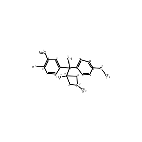 COc1cc([C@](O)(c2ccc(OC(F)(F)F)cc2)C2(C)CN(C)C2)ccc1F